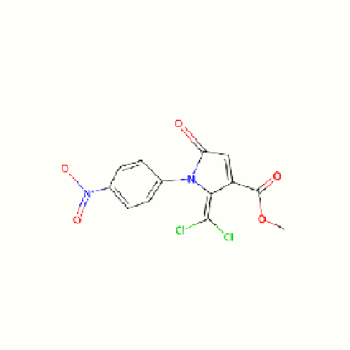 COC(=O)C1=CC(=O)N(c2ccc([N+](=O)[O-])cc2)C1=C(Cl)Cl